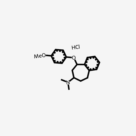 COc1ccc(OC2CC(N(C)C)CCc3ccccc32)cc1.Cl